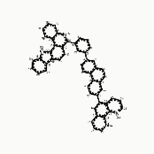 c1cc(-c2ccc3c(ccc4cc(-c5cc6cccnc6c6ncccc56)ccc43)c2)cc(-c2nc3ccccc3c3c2ccc2c4ccccc4oc23)c1